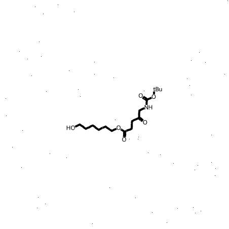 CC(C)(C)OC(=O)NCC(=O)CCC(=O)OCCCCCCO